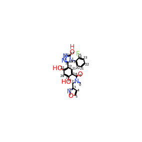 CN(Cc1ccon1)C(=O)c1cc(-c2nnc(O)n2-c2ccccc2F)c(O)cc1O